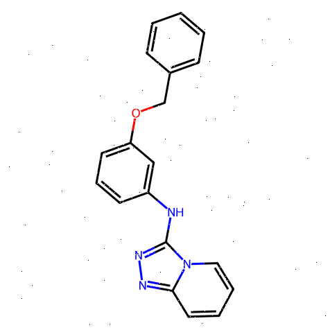 c1ccc(COc2cccc(Nc3nnc4ccccn34)c2)cc1